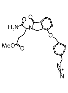 COC(=O)CCC(C(N)=O)N1Cc2c(OCc3ccc(CN=[N+]=[N-])cc3)cccc2C1=O